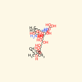 C/C=C/C=C/[C@@H](C[C@@H]1O[C@](O)(C[C@@H](O)C[C@@H](O)[C@H](O)CC[C@@H](O)C[C@@H](O)CC(=O)O[C@@H](C)[C@H](C)[C@H](O)[C@@H](C)/C=C/C=C/C)C[C@H](O)[C@H]1NC(=O)NOC(CO)CO)O[C@@H]1O[C@H](C)[C@@H](O)[C@H](N)[C@@H]1O